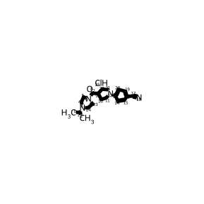 CC(C)N1CCN(C(=O)C2CCN(c3ccc(C#N)cc3)CC2)CC1.Cl